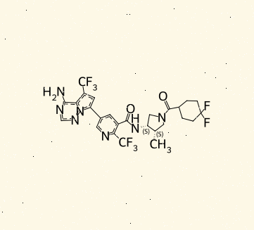 C[C@H]1CN(C(=O)C2CCC(F)(F)CC2)C[C@H]1NC(=O)c1cc(-c2cc(C(F)(F)F)c3c(N)ncnn23)cnc1C(F)(F)F